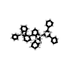 c1ccc(-c2nc(-c3ccccc3)nc(-n3c4cccc(-c5cccc6c5c5ccccc5n6-c5ccccc5)c4n4c5ccccc5nc34)n2)cc1